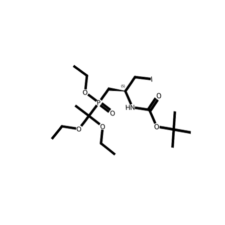 CCOC(C)(OCC)P(=O)(C[C@@H](CI)NC(=O)OC(C)(C)C)OCC